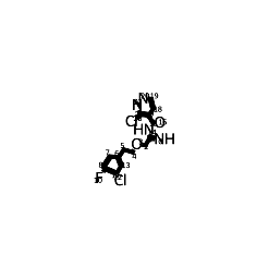 N=C(COCCc1ccc(F)c(Cl)c1)NC(=O)c1ccnnc1Cl